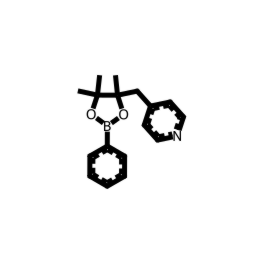 CC1(C)OB(c2ccccc2)OC1(C)Cc1ccncc1